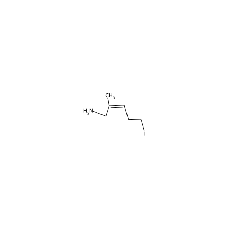 C/C(=C/CCI)CN